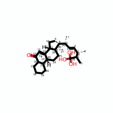 CC([C@@H](C)C=C[C@@H](C)[C@H]1CC[C@H]2C3=CC(=O)C4CCCC[C@]4(C)[C@H]3CC[C@]12C)C(O)(O)O